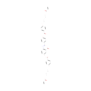 C=CC(=O)OCCCCOc1ccc(C(=O)Oc2ccc(-c3nc4cc(C)c(OC(=O)c5ccc(OCCCCOC(=O)C=C)cc5)cc4c(=O)o3)cc2C)cc1